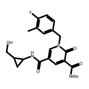 CNC(=O)c1cc(C(=O)NC2CC2CO)cn(Cc2ccc(F)c(C)c2)c1=O